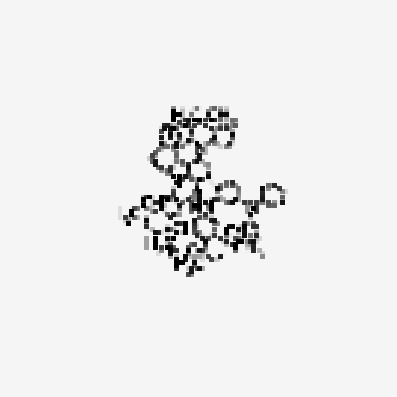 CC1(C)CCC(C)(C)c2cc(Nc3cc(N(c4ccccc4)c4ccccc4)ccc3-c3cc(N4c5ccccc5C(C)(C)c5ccccc54)c4c5c6ccccc6ccc5n5c4c3Bc3cc4c(cc3-5)C(C)(C)CCC4(C)C)ccc21